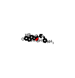 C[C@]12C=CC(=O)C=C1CC[C@H]1[C@@H]3C[C@H]4O[C@@H](c5ccn(Cc6cccc(N)c6)c5)O[C@@]4(C(=O)CO)[C@@]3(C)C[C@H](O)[C@@]12F